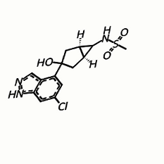 CS(=O)(=O)NC1[C@H]2CC(O)(c3cc(Cl)cc4[nH]ncc34)C[C@@H]12